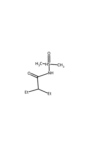 CCC(CC)C(=O)N[SH](C)(C)=O